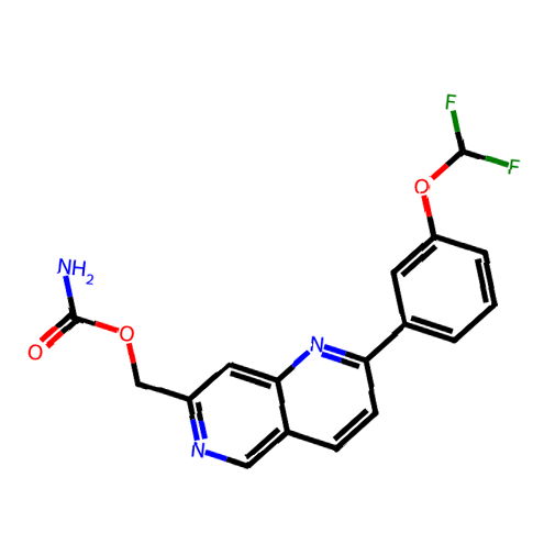 NC(=O)OCc1cc2nc(-c3cccc(OC(F)F)c3)ccc2cn1